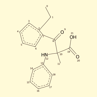 CCc1ccccc1C(=O)C(C)(Nc1ccccc1)C(=O)O